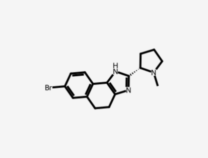 CN1CCC[C@H]1c1nc2c([nH]1)-c1ccc(Br)cc1CC2